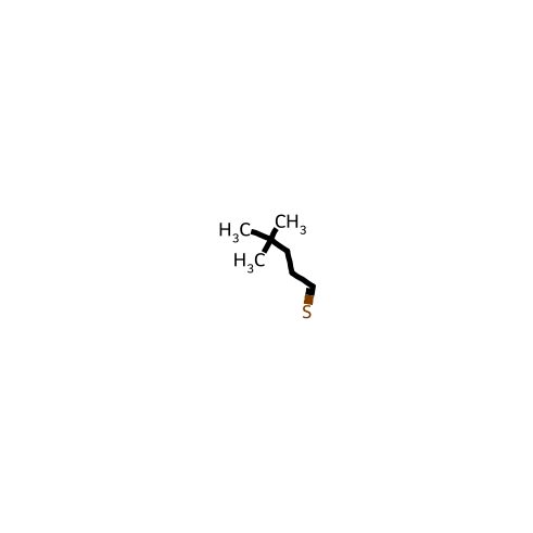 CC(C)(C)CCC=S